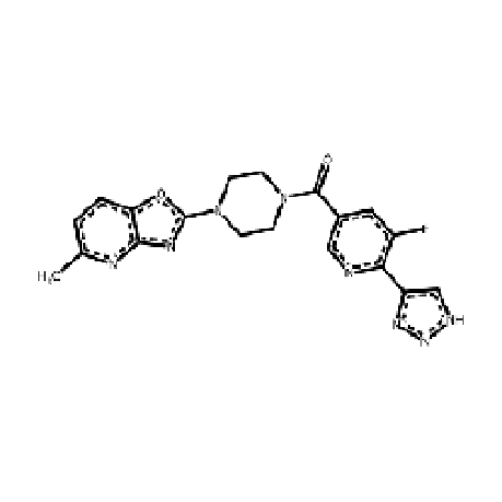 Cc1ccc2oc(N3CCN(C(=O)c4cnc(-c5c[nH]nn5)c(F)c4)CC3)nc2n1